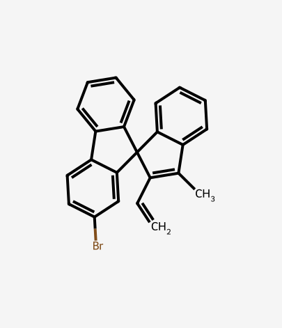 C=CC1=C(C)c2ccccc2C12c1ccccc1-c1ccc(Br)cc12